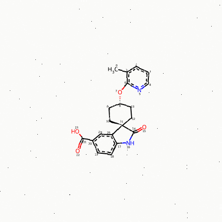 Cc1cccnc1O[C@H]1CC[C@@]2(CC1)C(=O)Nc1ccc(C(=O)O)cc12